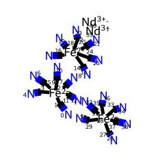 N#[C][Fe-2]([C]#N)([C]#N)([C]#N)([C]#N)[C]#N.N#[C][Fe-2]([C]#N)([C]#N)([C]#N)([C]#N)[C]#N.N#[C][Fe-2]([C]#N)([C]#N)([C]#N)([C]#N)[C]#N.[Nd+3].[Nd+3]